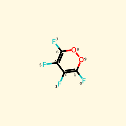 FC1=C(F)C(F)=C(F)OO1